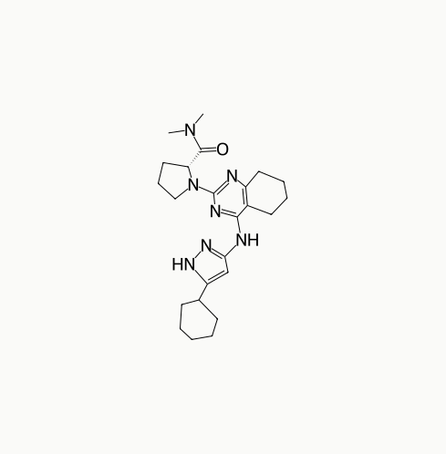 CN(C)C(=O)[C@H]1CCCN1c1nc2c(c(Nc3cc(C4CCCCC4)[nH]n3)n1)CCCC2